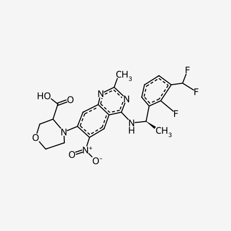 Cc1nc(N[C@H](C)c2cccc(C(F)F)c2F)c2cc([N+](=O)[O-])c(N3CCOCC3C(=O)O)cc2n1